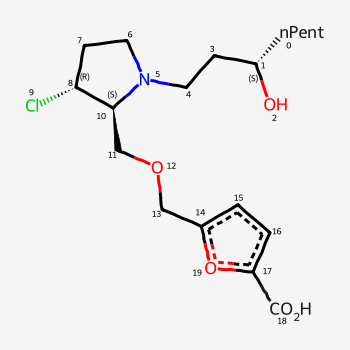 CCCCC[C@H](O)CCN1CC[C@@H](Cl)[C@@H]1COCc1ccc(C(=O)O)o1